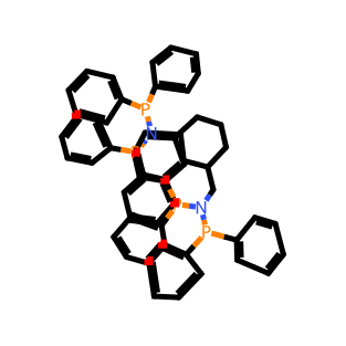 c1ccc(P(c2ccccc2)N(CC2CCCC(N(P(c3ccccc3)c3ccccc3)P(c3ccccc3)c3ccccc3)C2)P(c2ccccc2)c2ccccc2)cc1